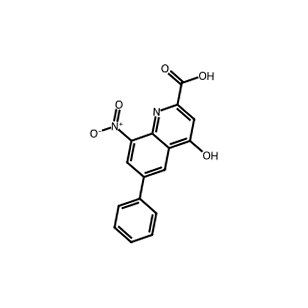 O=C(O)c1cc(O)c2cc(-c3ccccc3)cc([N+](=O)[O-])c2n1